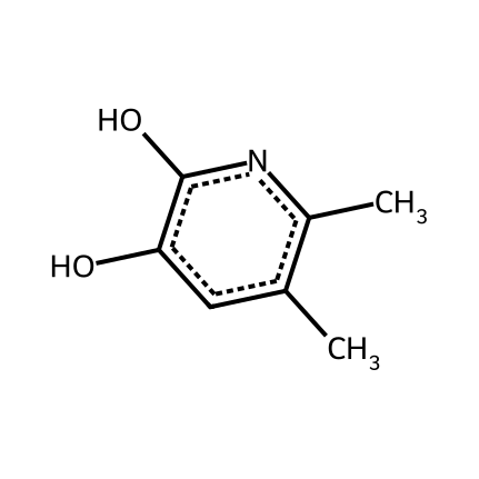 Cc1cc(O)c(O)nc1C